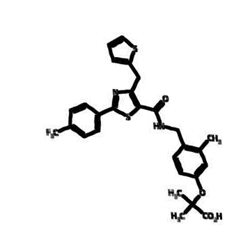 Cc1cc(OC(C)(C)C(=O)O)ccc1CNC(=O)c1sc(-c2ccc(C(F)(F)F)cc2)nc1Cc1cccs1